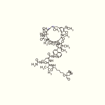 COc1cc2cc(c1Cl)N(C)C(=O)C[C@H](OC(=O)[C@H](C)N(C)C(=O)c1ccc(NC(=O)[C@H](CCCNC(N)=O)NC(=O)[C@@H](NC(=O)CCCCCOC(C=O)(CBr)CBr)C(C)C)c3ncccc13)[C@]1(C)O[C@H]1[C@H](C)[C@@H]1C[C@@](O)(NC(=O)O1)[C@H](OC)/C=C/C=C(\C)C2